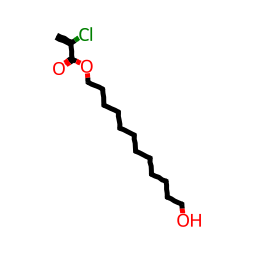 C=C(Cl)C(=O)OCCCCCCCCCCCCO